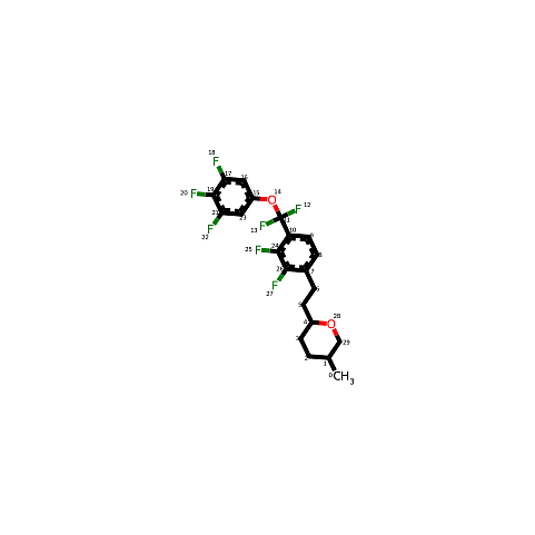 CC1CCC(CCc2ccc(C(F)(F)Oc3cc(F)c(F)c(F)c3)c(F)c2F)OC1